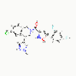 Cn1cc(C2CN(C(=O)c3cc(-c4ccc(F)cc4F)on3)Cc3ccc(Cl)cc32)cn1